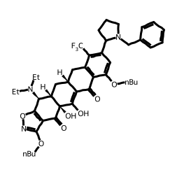 CCCCOc1cc(C2CCCN2Cc2ccccc2)c(C(F)(F)F)c2c1C(=O)C1=C(O)[C@]3(O)C(=O)c4c(OCCCC)noc4[C@@H](N(CC)CC)[C@@H]3C[C@@H]1C2